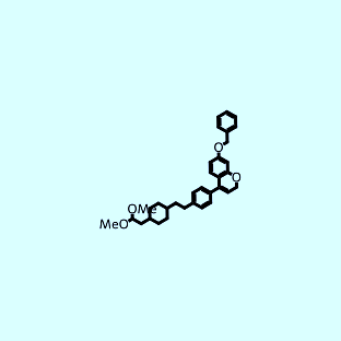 COC(CC1CCC(CCc2ccc(C3=CCOc4cc(OCc5ccccc5)ccc43)cc2)CC1)OC